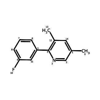 Cc1cnc(-c2[c]ccc(F)c2)c(C)c1